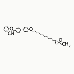 C=CC(=O)OCCCCCCCCCCCCOc1ccc(-c2ccc(COc3ccccc3C#N)cc2)cc1